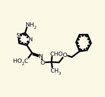 CC(C=O)(COCc1ccccc1)O/N=C(\C(=O)O)c1csc(N)n1